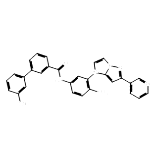 Cc1ccc(NC(=O)c2cccc(-c3cccc(C#N)c3)c2)cc1-n1ccn2nc(-c3cccnc3)cc12